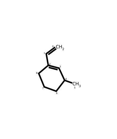 C=CC1=CC(C)CCC1